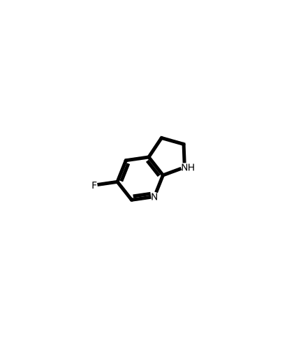 Fc1cnc2c(c1)CCN2